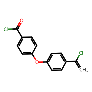 C=C(Cl)c1ccc(Oc2ccc(C(=O)Cl)cc2)cc1